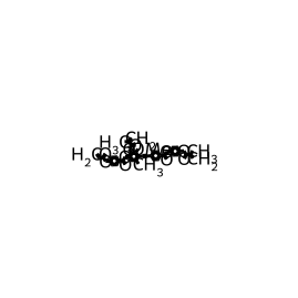 C=CC(=O)Oc1ccc(C(=O)Oc2cc(C)c(C#Cc3ccc(C(=O)Oc4ccc(OC(=O)C(=C)C)cc4)cc3)c(OC)c2OC(=O)C(=C)C)cc1